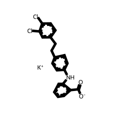 O=C([O-])c1ccccc1Nc1ccc(CCc2ccc(Cl)c(Cl)c2)cc1.[K+]